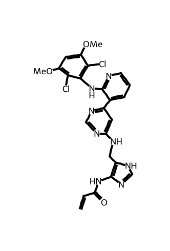 C=CC(=O)Nc1nc[nH]c1CNc1cc(-c2cccnc2Nc2c(Cl)c(OC)cc(OC)c2Cl)ncn1